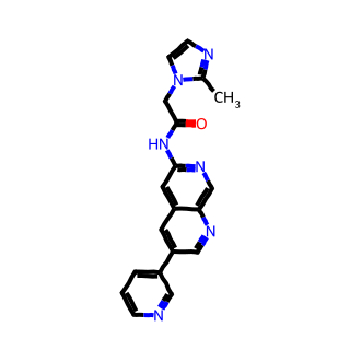 Cc1nccn1CC(=O)Nc1cc2cc(-c3cccnc3)cnc2cn1